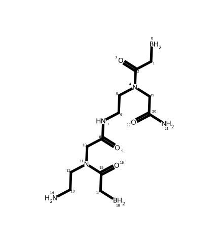 BCC(=O)N(CCNC(=O)CN(CCN)C(=O)CB)CC(N)=O